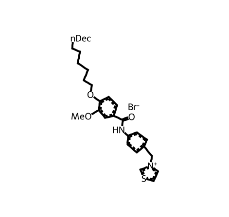 CCCCCCCCCCCCCCCCOc1ccc(C(=O)Nc2ccc(C[n+]3ccsc3)cc2)cc1OC.[Br-]